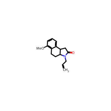 C=CCN1C(=O)CC2c3cccc(OC)c3CCC21